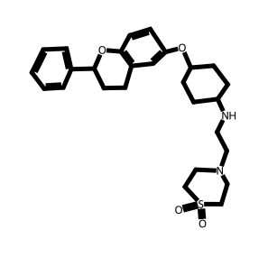 O=S1(=O)CCN(CCNC2CCC(Oc3ccc4c(c3)CCC(c3ccccc3)O4)CC2)CC1